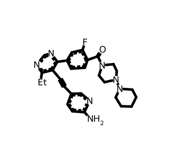 CCc1ncnc(-c2ccc(C(=O)N3CCN(N4CCCCC4)CC3)c(F)c2)c1C#Cc1ccc(N)nc1